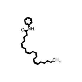 CCCCC/C=C\C/C=C\C/C=C\C/C=C\CCCC(=O)Nc1ccccc1